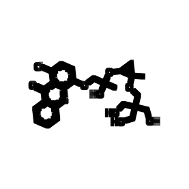 CC(O)(COc1ccc(Cl)c2c(=O)c3ccccc3sc12)OC1CC1(C)OCC(CO)(CO)CO